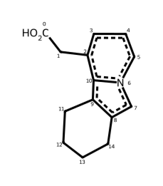 O=C(O)Cc1cccn2cc3c(c12)CCCC3